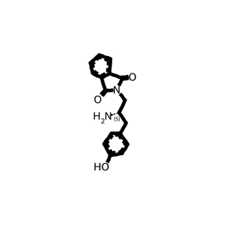 N[C@@H](Cc1ccc(O)cc1)CN1C(=O)c2ccccc2C1=O